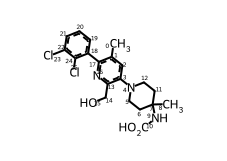 Cc1cc(N2CCC(C)(NC(=O)O)CC2)c(CO)nc1-c1cccc(Cl)c1Cl